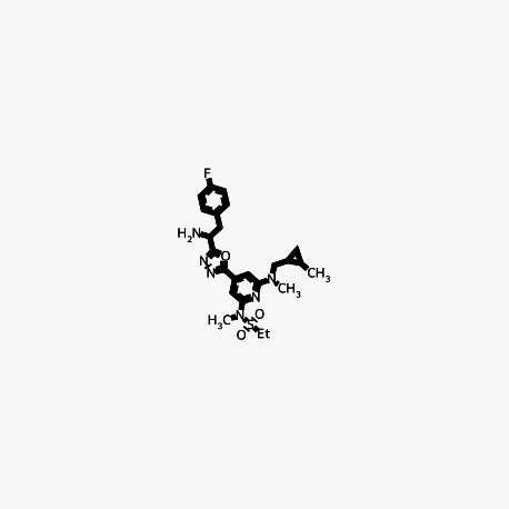 CCS(=O)(=O)N(C)c1cc(-c2nnc(C(N)Cc3ccc(F)cc3)o2)cc(N(C)CC2CC2C)n1